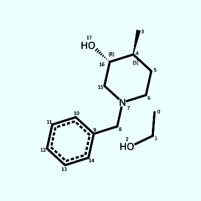 CCO.C[C@H]1CCN(Cc2ccccc2)C[C@@H]1O